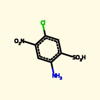 Nc1cc([N+](=O)[O-])c(Cl)cc1S(=O)(=O)O